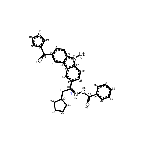 CCn1c2ccc(C(=O)c3ccsc3)cc2c2cc(/C(CC3CCCC3)=N\OC(=O)c3ccccc3)ccc21